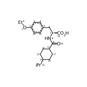 CCOc1ccc(C[C@H](NC(=O)C2CCC(C(C)C)CC2)C(=O)O)cc1